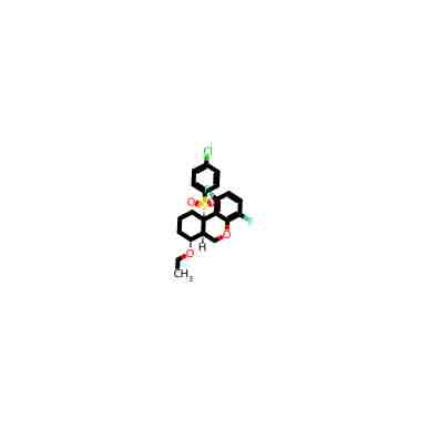 CCO[C@@H]1CCC[C@@]2(S(=O)(=O)c3ccc(Cl)cc3)c3c(F)ccc(F)c3OC[C@@H]12